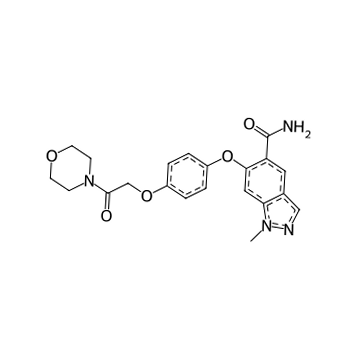 Cn1ncc2cc(C(N)=O)c(Oc3ccc(OCC(=O)N4CCOCC4)cc3)cc21